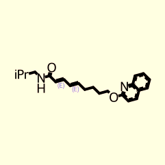 CC(C)CNC(=O)/C=C/C=C/CCCCOc1ccc2ccccc2n1